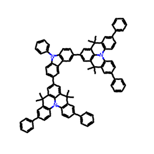 CC1(C)c2cc(-c3ccccc3)ccc2N2c3ccc(-c4ccccc4)cc3C(C)(C)c3cc(-c4ccc5c(c4)c4cc(-c6cc7c8c(c6)C(C)(C)c6cc(-c9ccccc9)ccc6N8c6ccc(-c8ccccc8)cc6C7(C)C)ccc4n5-c4ccccc4)cc1c32